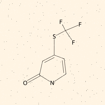 O=C1C=C(SC(F)(F)F)C=C[N]1